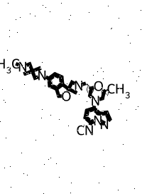 C[C@@H]1CN(c2ccc(C#N)n3nccc23)C[C@H](CN2CC3(C2)OCc2cc(N4CC5(CN(C)C5)C4)ccc23)O1